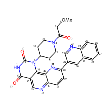 COCC(=O)N1CCC(n2c(=O)[nH]c(=O)c3cnc4ccc(-c5cnc6ccccc6c5)nc4c32)CC1